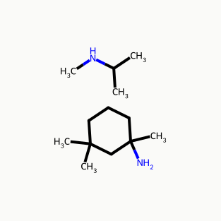 CC1(C)CCCC(C)(N)C1.CNC(C)C